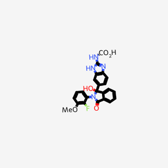 COc1cccc(N2C(=O)c3ccccc3C2(O)c2ccc3nc(NC(=O)O)[nH]c3c2)c1F